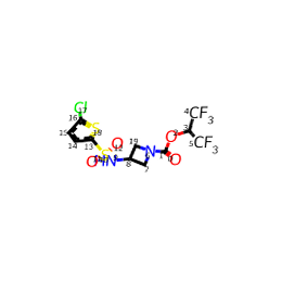 O=C(OC(C(F)(F)F)C(F)(F)F)N1CC(NS(=O)(=O)c2ccc(Cl)s2)C1